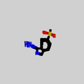 CS(=O)(=O)c1ccc2c(c1)C(=N)N=C2